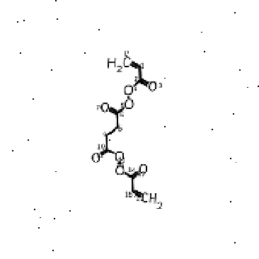 C=CC(=O)OOC(=O)CCC(=O)OOC(=O)C=C